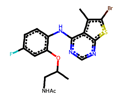 CC(=O)NCC(C)Oc1cc(F)ccc1Nc1ncnc2sc(Br)c(C)c12